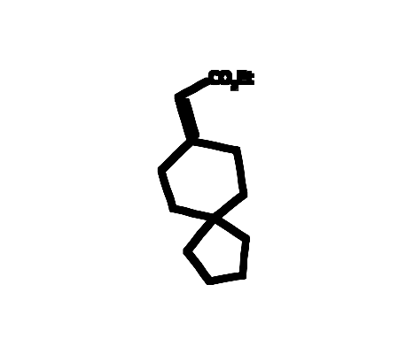 CCOC(=O)C=C1CCC2(CCCC2)CC1